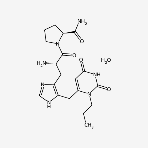 CCCn1c(Cc2[nH]cnc2C[C@H](N)C(=O)N2CCC[C@H]2C(N)=O)cc(=O)[nH]c1=O.O